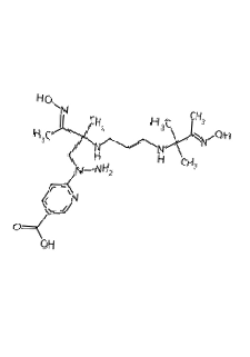 C/C(=N\O)C(C)(C)NCCCNC(C)(CN(N)c1ccc(C(=O)O)cn1)/C(C)=N/O